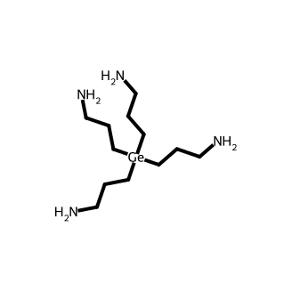 NCC[CH2][Ge]([CH2]CCN)([CH2]CCN)[CH2]CCN